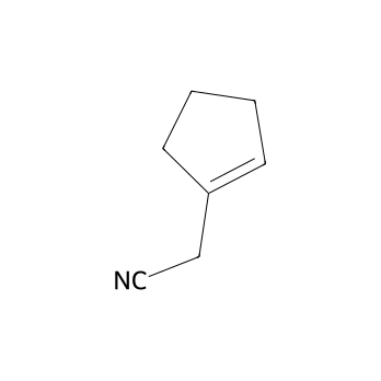 N#CCC1=CCCC1